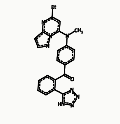 CCc1cc(N(C)c2ccc(C(=O)c3ccccc3-c3nnn[nH]3)cc2)n2nccc2n1